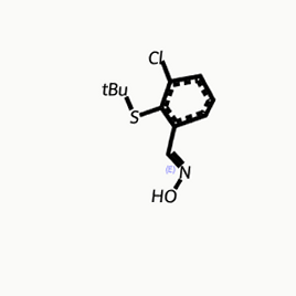 CC(C)(C)Sc1c(Cl)cccc1/C=N/O